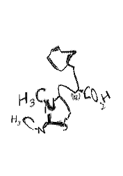 CN=c1scc(C[C@@H](Cc2ccccc2)C(=O)O)n1C